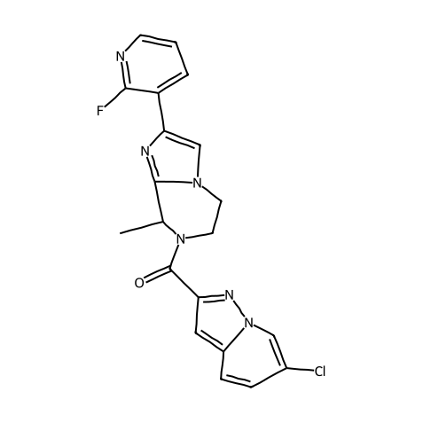 CC1c2nc(-c3cccnc3F)cn2CCN1C(=O)c1cc2ccc(Cl)cn2n1